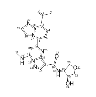 C=C(C)c1ccc(-c2cc(NC)n3ncc(C(=O)N[C@H]4COC[C@H]4O)c3n2)n2ccnc12